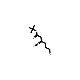 CC(C)(C)OC(=O)CC(=C=O)CCCCl